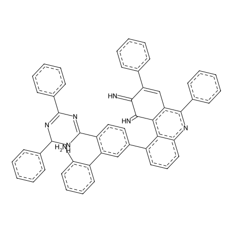 N=C1C(=N)c2c(c(-c3ccccc3)nc3cccc(-c4ccc(C5=NC(c6ccccc6)=NC(c6ccccc6)N5)c(-c5ccccc5N)c4)c23)C=C1c1ccccc1